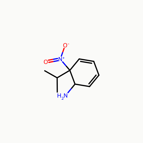 CC(C)C1([N+](=O)[O-])C=CC=CC1N